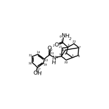 NC(=O)C12CC3CC(CC(NC(=O)c4cccc(O)c4)(C3)C1)C2